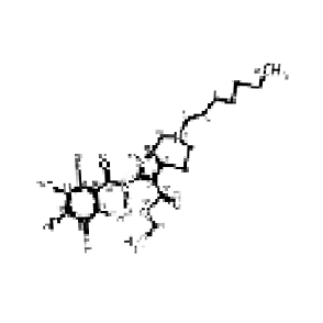 CCCCCCCN1CCc2c(sc(N(F)C(=O)c3c(F)c(F)c(F)c(F)c3F)c2C(=O)OCC)C1